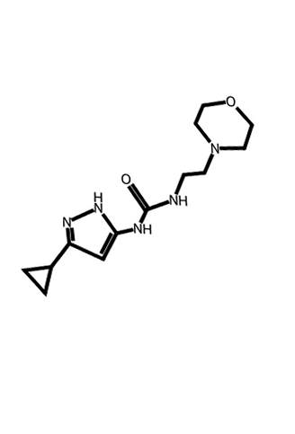 O=C(NCCN1CCOCC1)Nc1cc(C2CC2)n[nH]1